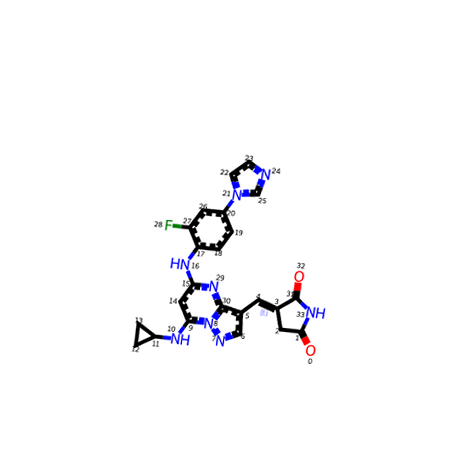 O=C1C/C(=C\c2cnn3c(NC4CC4)cc(Nc4ccc(-n5ccnc5)cc4F)nc23)C(=O)N1